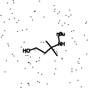 CCCCNC(C)(C)CCO